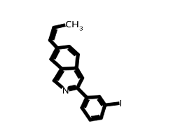 C/C=C\c1ccc2cc(-c3cccc(I)c3)ncc2c1